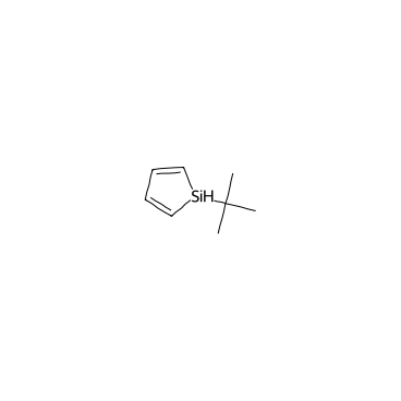 CC(C)(C)[SiH]1C=CC=C1